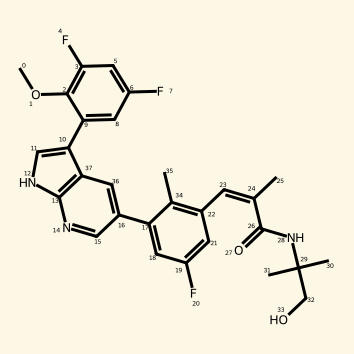 COc1c(F)cc(F)cc1-c1c[nH]c2ncc(-c3cc(F)cc(C=C(C)C(=O)NC(C)(C)CO)c3C)cc12